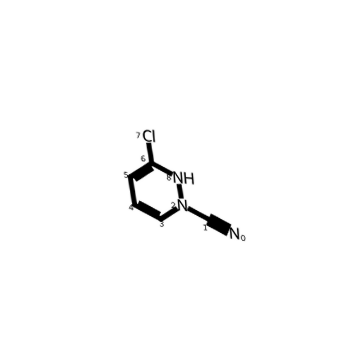 N#CN1C=CC=C(Cl)N1